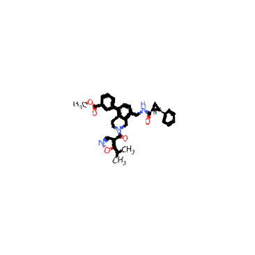 COC(=O)c1cccc(-c2ccc(CNC(=O)[C@H]3C[C@H]3c3ccccc3)c3c2CCN(C(=O)c2cnoc2C(C)C)C3)c1